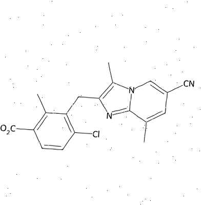 Cc1c(C(=O)O)ccc(Cl)c1Cc1nc2c(C)cc(C#N)cn2c1C